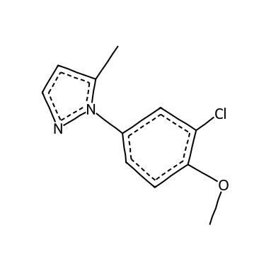 COc1ccc(-n2nccc2C)cc1Cl